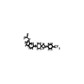 FC(F)Cn1ncc2ncc(N3CCC4(CC3)CN(c3ccc(C(F)(F)F)cn3)C4)nc21